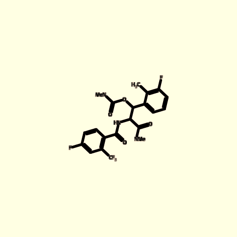 CNC(=O)OC(c1cccc(F)c1C)C(NC(=O)c1ccc(F)cc1C(F)(F)F)C(=O)NC